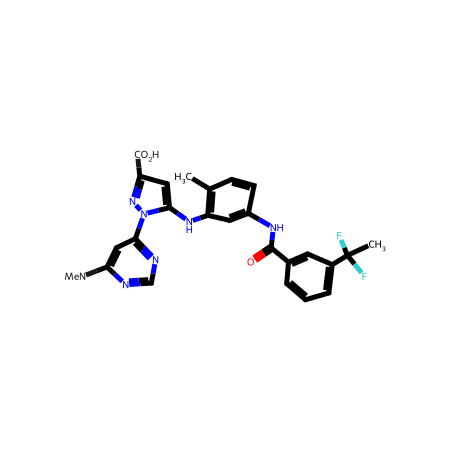 CNc1cc(-n2nc(C(=O)O)cc2Nc2cc(NC(=O)c3cccc(C(C)(F)F)c3)ccc2C)ncn1